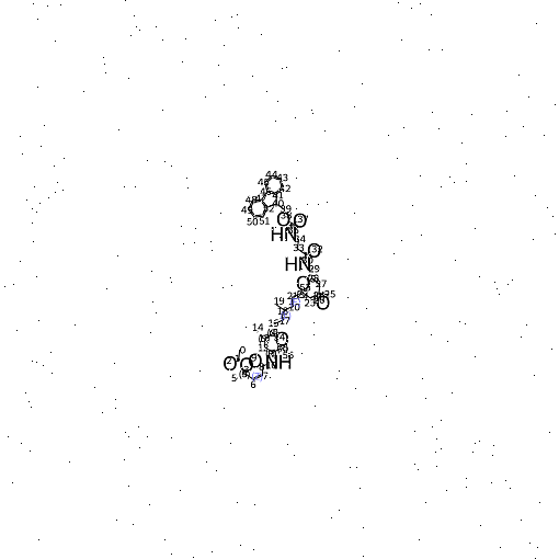 CC(=O)O[C@@H](C)/C=C\C(=O)N[C@@H]1C[C@H](C)[C@H](C/C=C(C)/C=C/[C@@H]2C[C@]3(CO3)C[C@@H](CNC(=O)CCNC(=O)OCC3c4ccccc4-c4ccccc43)O2)O[C@@H]1C